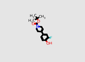 CC(C)(C)OC(=O)N1CC=C(c2ccc(O)c(F)c2)CC1